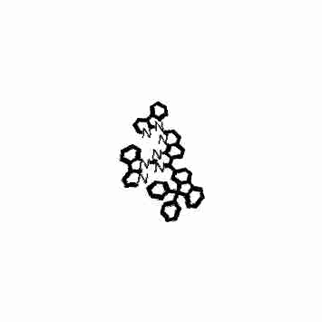 c1ccc(C2(c3ccccc3)c3ccccc3-c3ccc(-c4nc(-n5c6ccccc6c6cccnc65)nc5c4ccc4ccc(-n6c7ccccc7c7cccnc76)nc45)cc32)cc1